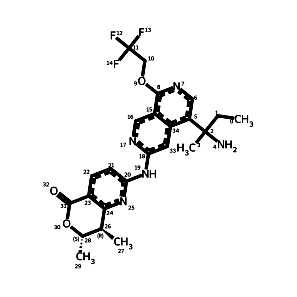 CCC(C)(N)c1cnc(OCC(F)(F)F)c2cnc(Nc3ccc4c(n3)[C@@H](C)[C@H](C)OC4=O)cc12